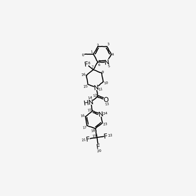 Cc1cccnc1C1(F)CCN(C(=O)Nc2ccc(C(F)(F)F)cn2)CC1